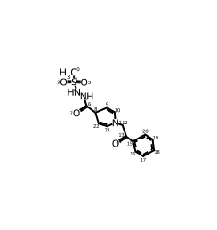 CS(=O)(=O)NNC(=O)C1C=CN(CC(=O)c2ccccc2)C=C1